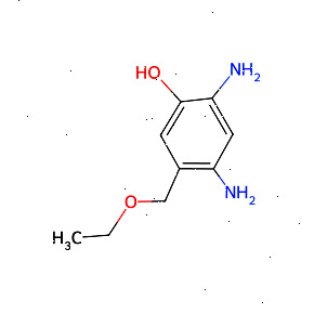 CCOCc1cc(O)c(N)cc1N